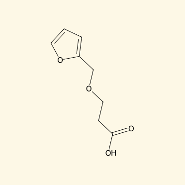 O=C(O)CCOCc1ccco1